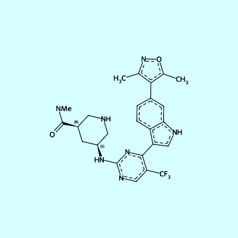 CNC(=O)[C@H]1CNC[C@@H](Nc2ncc(C(F)(F)F)c(-c3c[nH]c4cc(-c5c(C)noc5C)ccc34)n2)C1